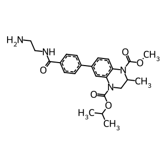 COC(=O)N1c2ccc(-c3ccc(C(=O)NCCN)cc3)cc2N(C(=O)OC(C)C)CC1C